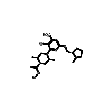 CCOC(=O)c1nc(OC[C@@H]2CCCN2C)nc(N2C[C@H](C)N(C(=O)OC(C)(C)C)C[C@@H]2C)c1N